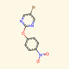 O=[N+]([O-])c1ccc(Oc2ncc(Br)cn2)cc1